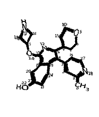 Cc1cc(-c2c(C3CCOCC3)nc(OC3CNC3)c3cc(O)ccc23)ccn1